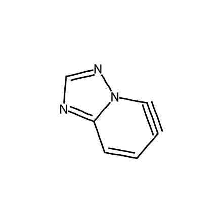 c1ccc2ncnn2c#1